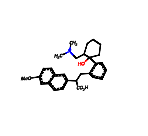 COc1ccc2cc(C(Cc3ccccc3C3(O)CCCCC3CN(C)C)C(=O)O)ccc2c1